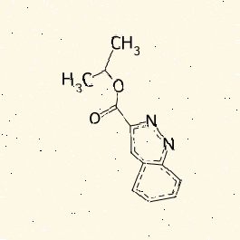 CC(C)OC(=O)c1cc2ccccc2nn1